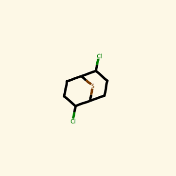 ClC1CCC2SC1CCC2Cl